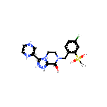 CS(=O)(=O)c1cc(Cl)ccc1CN1CCn2c(nnc2-c2cnccn2)C1=O